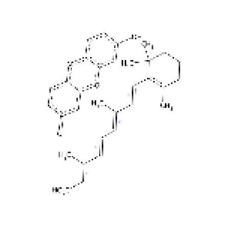 CC1=C(/C=C/C(C)=C/C=C/C(C)=C/C(=O)O)C(C)(C)CCC1.O=c1ccc2nc3ccc(O)cc3oc-2c1